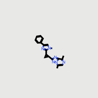 Cc1ncc(C)n2nc(C3CC3c3nc(-c4ccccc4)cn3C)nc12